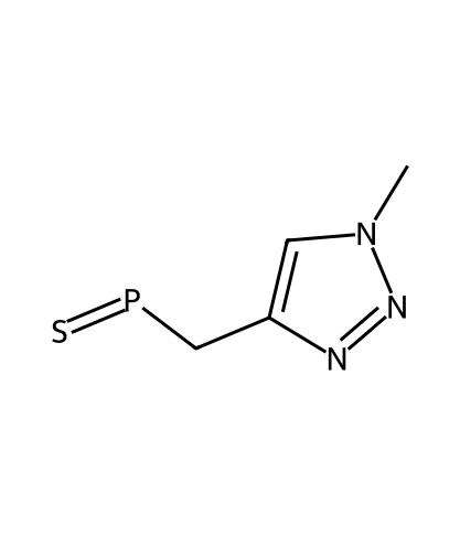 Cn1cc(CP=S)nn1